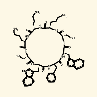 NCCC[C@@H]1NC(=O)[C@@H](CCCN)NC(=O)[C@H](CO)NC(=O)[C@@H](Cc2c[nH]c3ccccc23)NC(=O)C(Cc2ccccc2)NC(=O)[C@@H](Cc2c[nH]c3ccccc23)NC(=O)[C@H](CO)NC(=O)[C@@H](CCCN)NC1=O